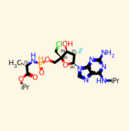 CC(C)Nc1nc(N)nc2c1ncn2[C@@H]1O[C@](CCl)(CO[PH](=O)N[C@@H](C)C(=O)OC(C)C)[C@@H](O)[C@@H]1F